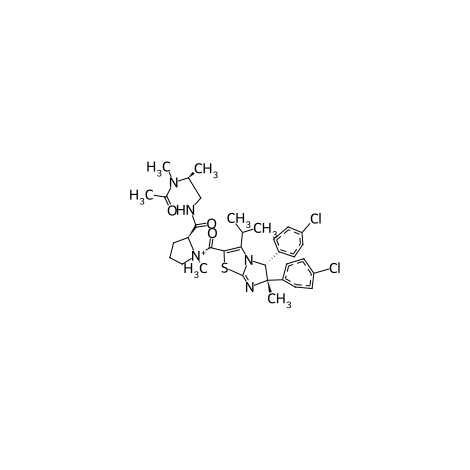 CC(=O)N(C)[C@@H](C)CNC(=O)[C@@H]1CCC[N+]1(C)C(=O)C1=C(C(C)C)N2C(=N[C@@](C)(c3ccc(Cl)cc3)[C@H]2c2ccc(Cl)cc2)S1